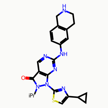 CC(C)n1c(=O)c2cnc(Nc3ccc4c(c3)CCNC4)nc2n1-c1nc(C2CC2)cs1